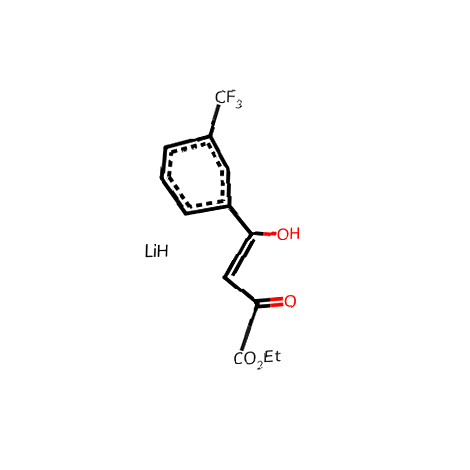 CCOC(=O)C(=O)C=C(O)c1cccc(C(F)(F)F)c1.[LiH]